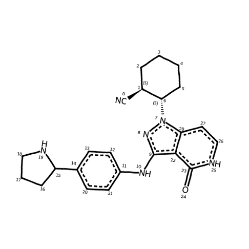 N#C[C@H]1CCCC[C@@H]1n1nc(Nc2ccc(C3CCCN3)cc2)c2c(=O)[nH]ccc21